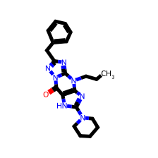 CCCn1c2nc(N3CCCCC3)[nH]c2c(=O)n2nc(Cc3ccccc3)nc12